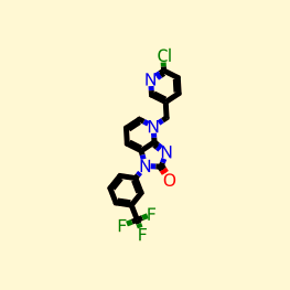 O=c1nc2n(Cc3ccc(Cl)nc3)cccc-2n1-c1cccc(C(F)(F)F)c1